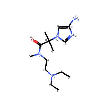 CCN(CC)CCN(C)C(=O)C(C)(C)n1cnc(N)c1